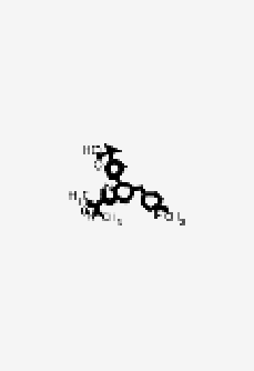 C=CC1(F)CCC(CC2C=C(c3ccc(C4(C(=O)O)CC4)cc3)c3ncc(-c4c(C)noc4C)cc3CC2)CC1